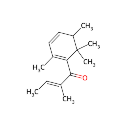 CC=C(C)C(=O)C1=C(C)C=CC(C)C1(C)C